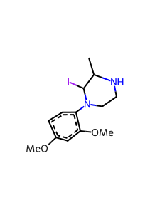 COc1ccc(N2CCNC(C)C2I)c(OC)c1